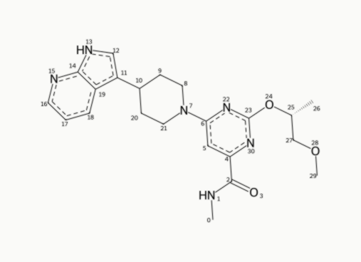 CNC(=O)c1cc(N2CCC(c3c[nH]c4ncccc34)CC2)nc(O[C@H](C)COC)n1